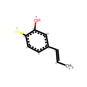 CC=Cc1ccc(S)c(O)c1